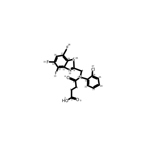 O=C(O)CCC(=O)N(Cc1nc2c(F)c(F)cc(F)c2s1)c1ccccc1Cl